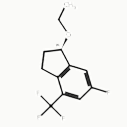 CCO[C@@H]1CCc2c1cc(F)cc2C(F)(F)F